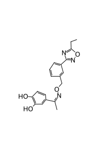 CCc1nc(-c2cccc(CON=C(C)c3ccc(O)c(O)c3)c2)no1